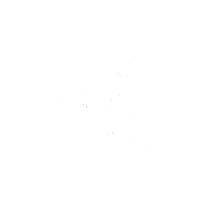 O=C(O)CNC(=O)c1c(O)c(C(=O)NC2CCCCC2)cn(C2CC2)c1=O